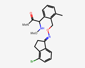 CNC(=O)C(NOC)c1cccc(C)c1CO/N=C1\CCc2c(Br)cccc21